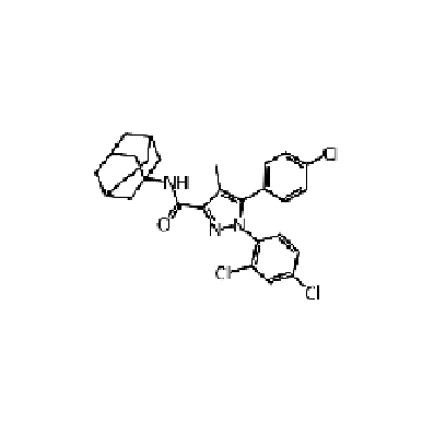 Cc1c(C(=O)NC23CC4CC(CC(C4)C2)C3)nn(-c2ccc(Cl)cc2Cl)c1-c1ccc(Cl)cc1